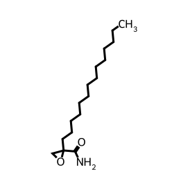 CCCCCCCCCCCCCCC1(C(N)=O)CO1